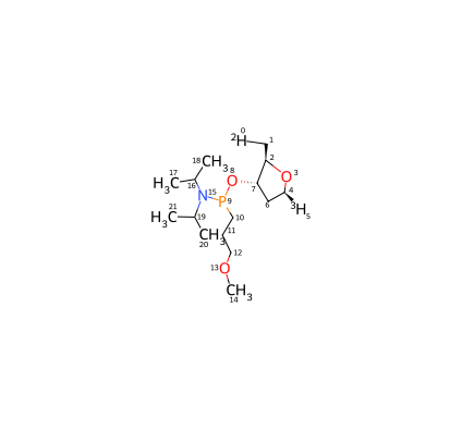 [2H]C[C@H]1O[C@@H]([3H])C[C@@H]1OP(CCCOC)N(C(C)C)C(C)C